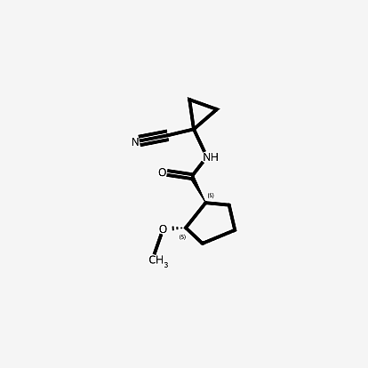 CO[C@H]1CCC[C@@H]1C(=O)NC1(C#N)CC1